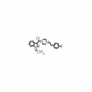 CCn1nc(C(=O)N2CCN(CCc3ccc(F)cc3)CC2)c2ccccc21